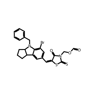 O=COCN1C(=O)/C(=C\c2cc(Br)c3c(c2)C2CCCC2N3Cc2ccccc2)SC1=S